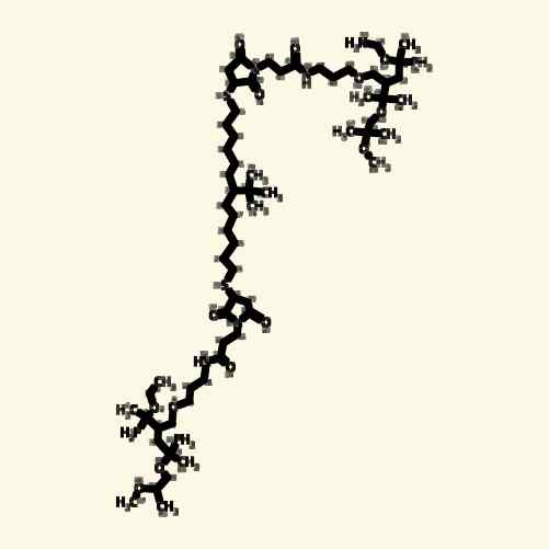 CCOC(C)(P)C(COCCCNC(=O)CCN1C(=O)CC(SCCCCCCC(CCCCCCSC2CC(=O)N(CCC(=O)NCCCOCC(CC(C)(P)OCN)C(C)(C)OCC(C)(C)OC)C2=O)C(C)(C)C)C1=O)CC(C)(P)OCC(C)OC